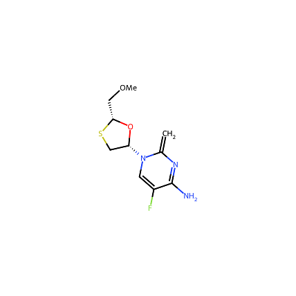 C=C1N=C(N)C(F)=CN1[C@@H]1CS[C@H](COC)O1